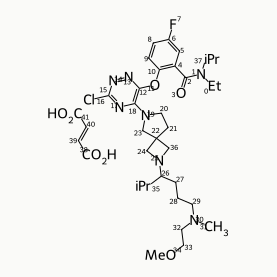 CCN(C(=O)c1cc(F)ccc1Oc1nnc(Cl)nc1N1CCC2(C1)CN(C(CCCN(C)CCOC)C(C)C)C2)C(C)C.O=C(O)/C=C/C(=O)O